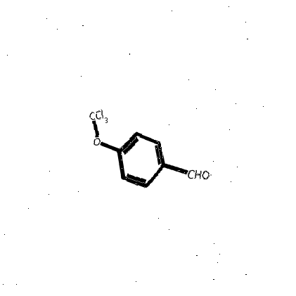 O=[C]c1ccc(OC(Cl)(Cl)Cl)cc1